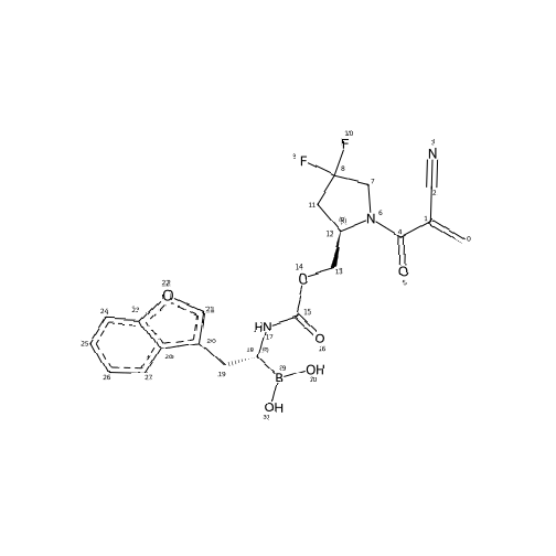 C=C(C#N)C(=O)N1CC(F)(F)C[C@@H]1COC(=O)N[C@@H](Cc1coc2ccccc12)B(O)O